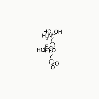 COc1ccc(CCCOc2ccc(CCC(N)(CO)CO)cc2C(F)(F)F)cc1OC.Cl